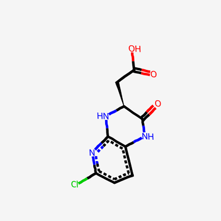 O=C(O)C[C@@H]1Nc2nc(Cl)ccc2NC1=O